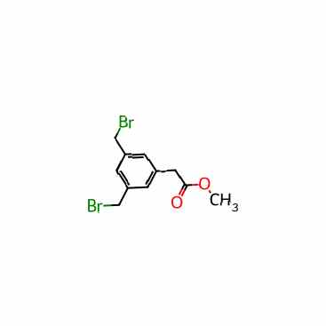 COC(=O)Cc1cc(CBr)cc(CBr)c1